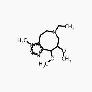 CCN1CCc2c(nnn2C)C(OC)C(OC)C1